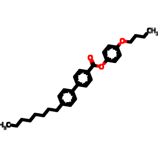 CCCCCCCCc1ccc(-c2ccc(C(=O)Oc3ccc(OCCCC)cc3)cc2)cc1